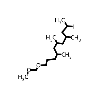 COCOCCCC(C)CC(C)CC(C)CC(C)I